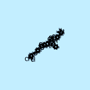 Cc1ccccc1NC(=O)N1Cc2cc3c(cc2C[C@H]1C(=O)N[C@@H](Cc1ccc(-c2ccnc(C)c2C)cc1)C(=O)O)OC[C@H](c1ccc(OCc2ccc(Cl)c(Cl)c2)cc1)O3